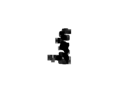 CC(C)(C)OC(=O)NC1CC(C[C@H](CO)OC(N)=O)C1